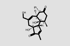 CC1=C[C@H]2[C@@]3(O)[C@H](C)CC(=O)[C@@H](C(C)C)[C@@H]3C=C(CO)C[C@]2(O)C1=O